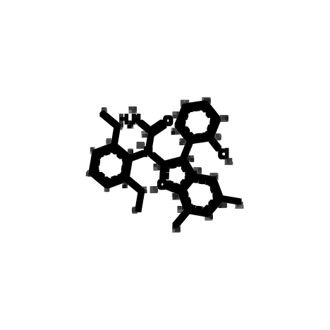 CCc1cccc(CC)c1N(C(N)=O)c1oc2c(C)cc(C)cc2c1-c1ccccc1Cl